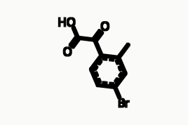 Cc1cc(Br)ccc1C(=O)C(=O)O